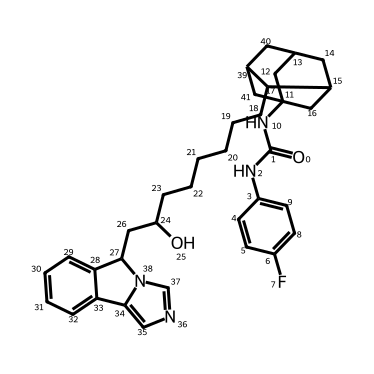 O=C(Nc1ccc(F)cc1)NC12CC3CC(C1)C(CCCCCCC(O)CC1c4ccccc4-c4cncn41)C(C3)C2